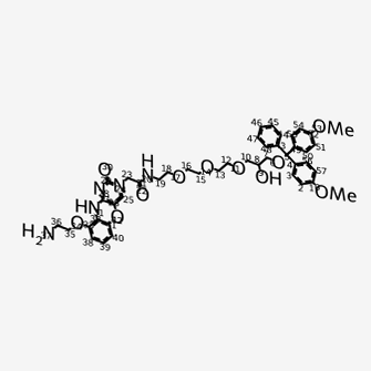 COc1ccc(C(OCC(O)COCCOCCOCCNC(=O)Cn2cc3c(nc2=O)Nc2c(OCCN)cccc2O3)(c2ccccc2)c2ccc(OC)cc2)cc1